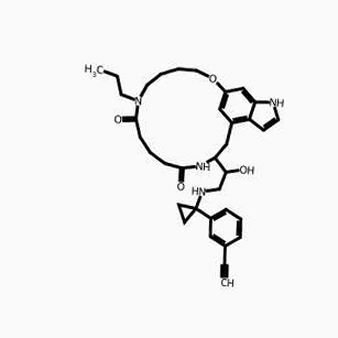 C#Cc1cccc(C2(NCC(O)C3Cc4cc(cc5[nH]ccc45)OCCCCN(CCC)C(=O)CCCC(=O)N3)CC2)c1